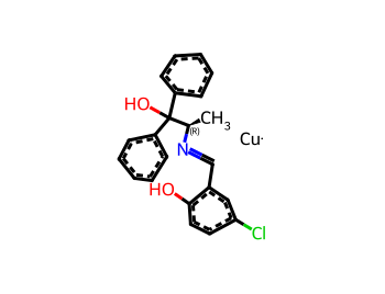 C[C@@H](N=Cc1cc(Cl)ccc1O)C(O)(c1ccccc1)c1ccccc1.[Cu]